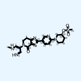 CN/C=C(\C=N)N1CCc2nc(-c3ccc(N4CCC[C@H](OS(C)(=O)=O)C4)nc3)sc2C1=O